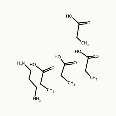 CCC(=O)O.CCC(=O)O.CCC(=O)O.CCC(=O)O.NCCCN